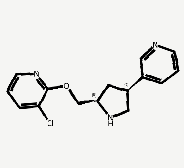 Clc1cccnc1OC[C@H]1C[C@@H](c2cccnc2)CN1